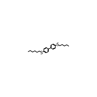 CCCCCCSc1ccc(-c2ccc(SCCCCC)cc2)cc1